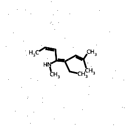 C/C=C\C(NC)=C(/C=C(C)C)CC